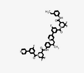 CCc1cccc(NC(=O)C2CN(C(=O)c3cc(F)cc(-c4ccnc(CC(C)c5cccc(NC(=O)C6CN(C(=O)c7cc(F)cc(-c8ccncc8)c7)CC(F)(F)C6)c5)c4)c3)CC(F)(F)C2)c1